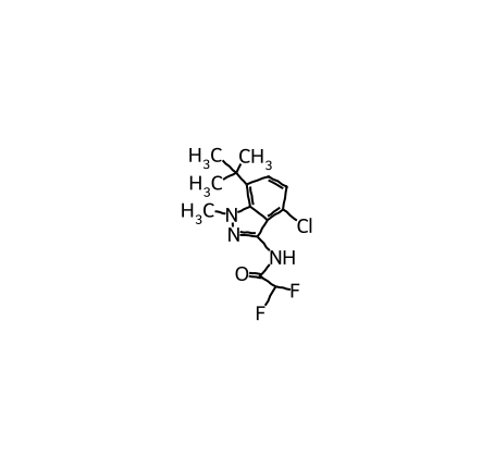 Cn1nc(NC(=O)C(F)F)c2c(Cl)ccc(C(C)(C)C)c21